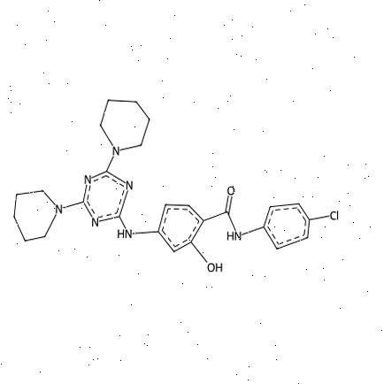 O=C(Nc1ccc(Cl)cc1)c1ccc(Nc2nc(N3CCCCC3)nc(N3CCCCC3)n2)cc1O